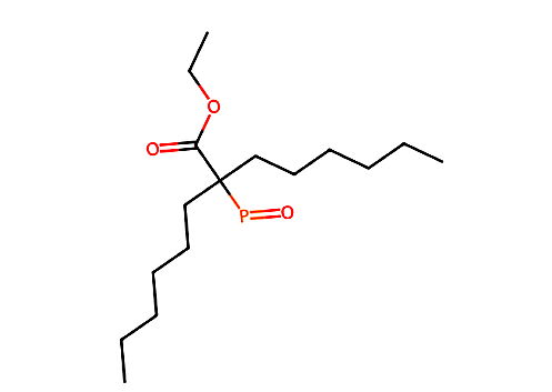 CCCCCCC(CCCCCC)(P=O)C(=O)OCC